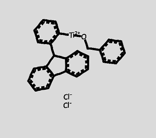 [Cl-].[Cl-].c1ccc(C[O][Ti+2][c]2ccccc2C2c3ccccc3-c3ccccc32)cc1